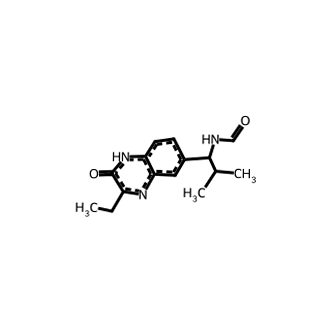 CCc1nc2cc(C(NC=O)C(C)C)ccc2[nH]c1=O